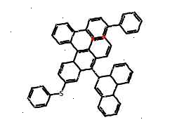 C1=CC2=CC(C3=c4ccccc4=C(c4ccccc4-c4ccc(-c5ccccc5)cc4)C4C=CC(Sc5ccccc5)=CC34)C3C=CC=CC3C2C=C1